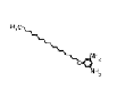 CCCCCCCCCCCCCCCCCCOc1cc(N)cc(N)c1